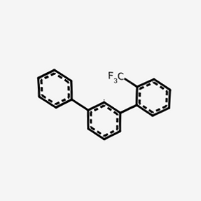 FC(F)(F)c1ccccc1-c1[c]c(-c2ccccc2)ccc1